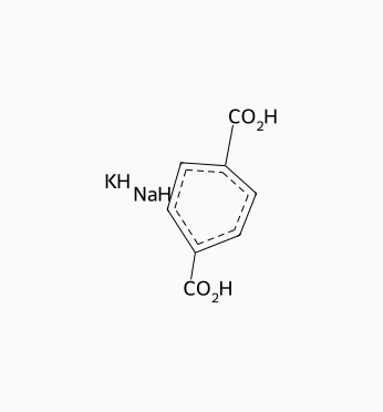 O=C(O)c1ccc(C(=O)O)cc1.[KH].[NaH]